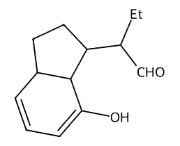 CCC(C=O)C1CCC2C=CC=C(O)C21